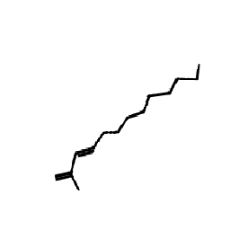 C=C(C)C=CCCCCCCCCC